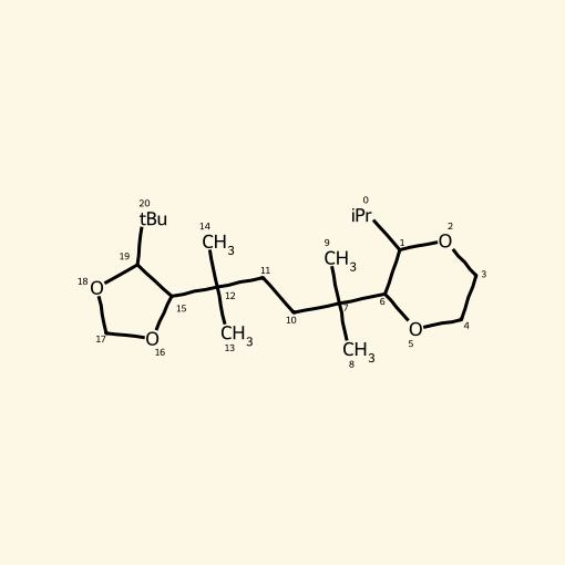 CC(C)C1OCCOC1C(C)(C)CCC(C)(C)C1OCOC1C(C)(C)C